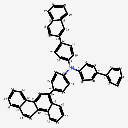 c1ccc(-c2ccc(N(c3ccc(-c4ccc5ccccc5c4)cc3)c3ccc(-c4cc5c6ccccc6ccc5c5ccccc45)cc3)cc2)cc1